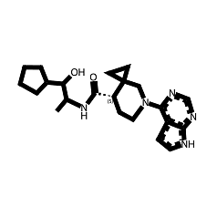 CC(NC(=O)[C@H]1CCN(c2ncnc3[nH]ccc23)CC12CC2)C(O)C1CCCC1